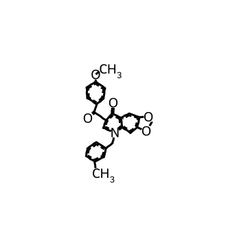 COc1ccc(C(=O)c2cn(Cc3cccc(C)c3)c3cc4c(cc3c2=O)OCO4)cc1